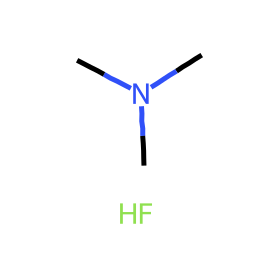 CN(C)C.F